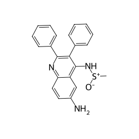 C[S+]([O-])Nc1c(-c2ccccc2)c(-c2ccccc2)nc2ccc(N)cc12